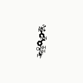 CSc1nnc(-c2ccn3c(-c4cccc(NC(=O)NCC(F)(F)F)c4)cnc3c2)n1C